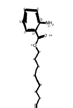 CCCCCCCCOC(=O)c1ccccc1N